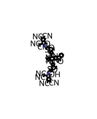 CC1(C)Oc2cc(/C=C3/C(=C(C#N)C#N)c4cc(C#N)c(C#N)cc4C3O)sc2-c2sc(-c3c4nsnc4c(-c4cc5c(s4)-c4sc(/C=C6\C(=O)c7cc(C#N)c(C#N)cc7C6=C(C#N)C#N)cc4OC5(C)C)c4nc5c(nc34)C(=O)c3ccccc3-5)cc21